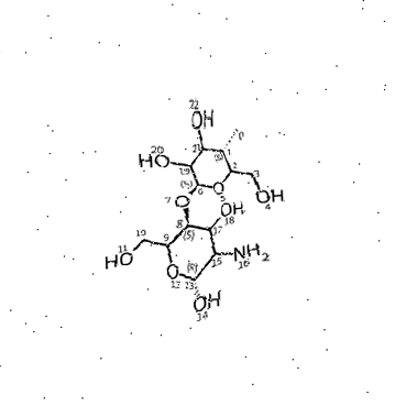 C[C@@H]1C(CO)O[C@@H](O[C@@H]2C(CO)O[C@@H](O)C(N)C2O)C(O)C1O